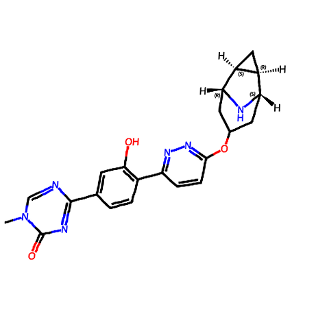 Cn1cnc(-c2ccc(-c3ccc(OC4C[C@@H]5N[C@H](C4)[C@H]4C[C@H]45)nn3)c(O)c2)nc1=O